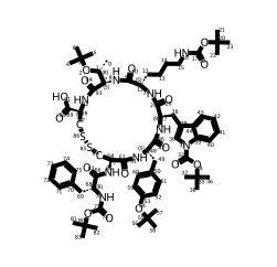 C[C@@H](OC(C)(C)C)[C@@H]1NC(=O)[C@H](CCCCNC(=O)OC(C)(C)C)NC(=O)[C@@H](Cc2cn(C(=O)OC(C)(C)C)c3ccccc23)NC(=O)[C@H](Cc2ccc(OC(C)(C)C)cc2)NC(=O)[C@@H](NC(=O)[C@@H](Cc2ccccc2)NC(=O)OC(C)(C)C)CSSC[C@@H](C(=O)O)NC1=O